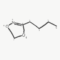 CCCCC1=NOCO1